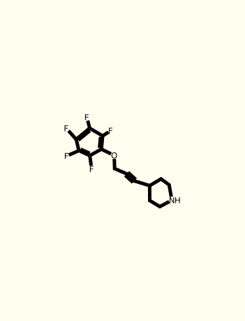 Fc1c(F)c(F)c(OCC#CC2CCNCC2)c(F)c1F